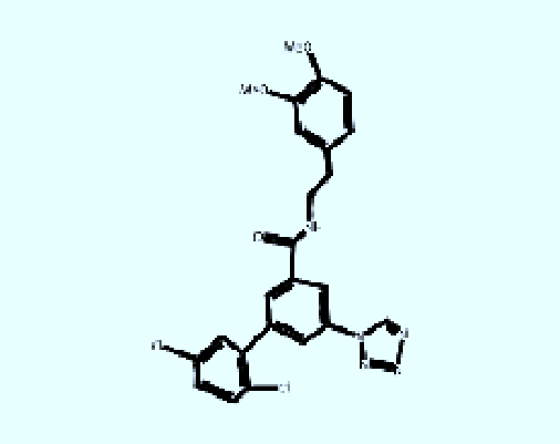 COc1ccc(CCNC(=O)c2cc(-c3cc(Cl)ccc3Cl)cc(-n3cnnn3)c2)cc1OC